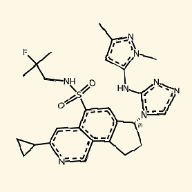 Cc1cc(Nc2nncn2[C@@H]2CCc3c2cc(S(=O)(=O)NCC(C)(C)F)c2cc(C4CC4)ncc32)n(C)n1